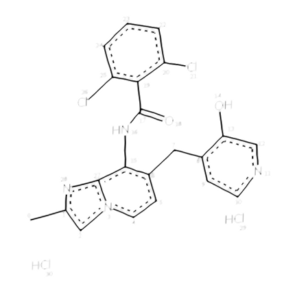 Cc1cn2ccc(Cc3ccncc3O)c(NC(=O)c3c(Cl)cccc3Cl)c2n1.Cl.Cl